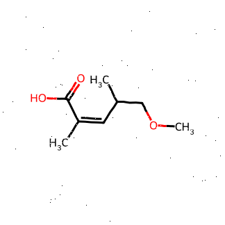 COCC(C)C=C(C)C(=O)O